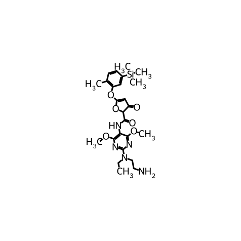 CCN(CCN)c1nc(OC)c(NC(=O)C2OC(Oc3cc([Si](C)(C)C)ccc3C)=CC2=O)c(OC)n1